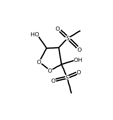 CS(=O)(=O)C1C(O)OOC1(O)S(C)(=O)=O